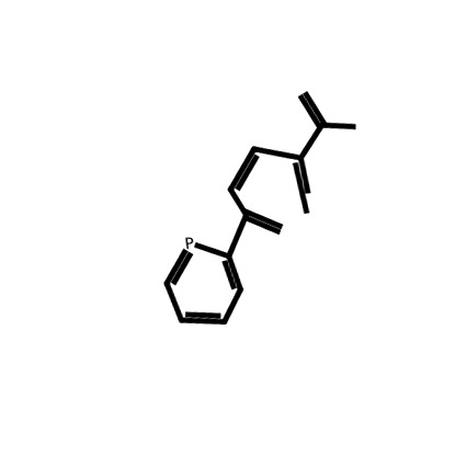 C=C(C)C(/C=C\C(=C)c1ccccp1)=C/C